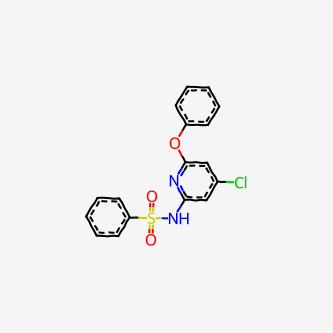 O=S(=O)(Nc1cc(Cl)cc(Oc2ccccc2)n1)c1ccccc1